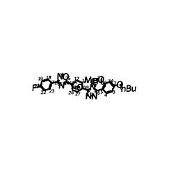 CCCCOc1ccc(-c2nnc(C34CCC(c5nc(-c6ccc(F)cc6)no5)(CC3)CC4)n2C)c(OC)c1